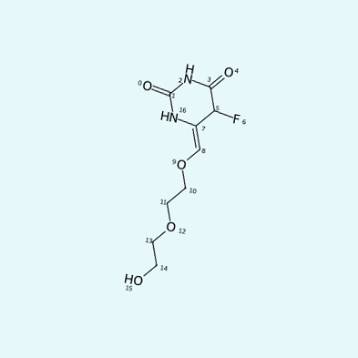 O=C1NC(=O)C(F)C(=COCCOCCO)N1